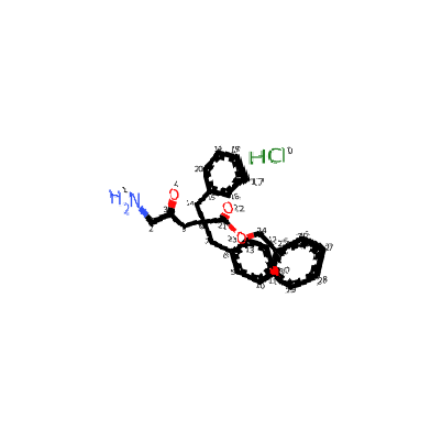 Cl.NCC(=O)CC(Cc1ccccc1)(Cc1ccccc1)C(=O)OCc1ccccc1